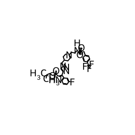 CC(C)COC(=O)c1[nH]c2ccc(F)cc2c1-c1cn(CC2CCN(CCNS(=O)(=O)Cc3ccc(C(F)(F)F)cc3)CC2)nn1